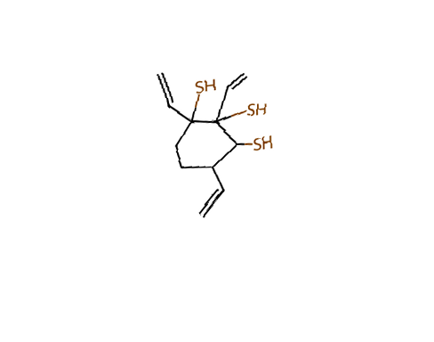 C=CC1CCC(S)(C=C)C(S)(C=C)C1S